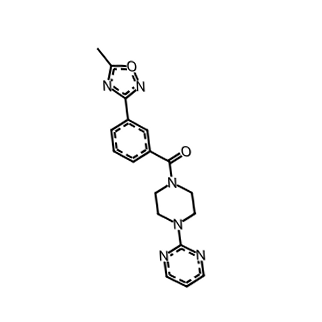 Cc1nc(-c2cccc(C(=O)N3CCN(c4ncccn4)CC3)c2)no1